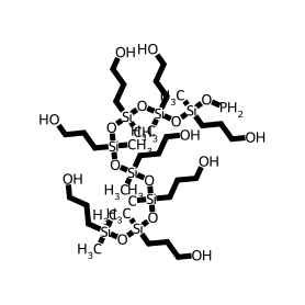 C[Si](C)(CCCO)O[Si](C)(CCCO)O[Si](C)(CCCO)O[Si](C)(CCCO)O[Si](C)(CCCO)O[Si](C)(CCCO)O[Si](C)(CCCO)O[Si](C)(CCCO)OP